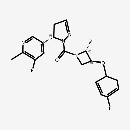 Cc1ncc([C@@H]2CC=NN2C(=O)N2C[C@H](OC3C=CC(F)=CC3)[C@H]2C)cc1F